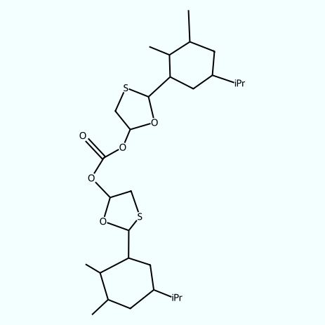 CC(C)C1CC(C)C(C)C(C2OC(OC(=O)OC3CSC(C4CC(C(C)C)CC(C)C4C)O3)CS2)C1